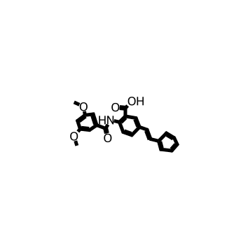 COc1cc(OC)cc(C(=O)Nc2ccc(C=Cc3ccccc3)cc2C(=O)O)c1